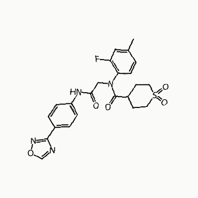 Cc1ccc(N(CC(=O)Nc2ccc(-c3ncon3)cc2)C(=O)C2CCS(=O)(=O)CC2)c(F)c1